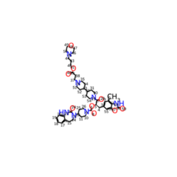 Cc1cc(C[C@@H](OC(=O)N2CCC(N3CCc4ccccc4NC3=O)CC2)C(=O)N2CCC(C3CCN(CCC(=O)OCCCN4CCOCC4)CC3)CC2)cc2oc(=O)[nH]c12